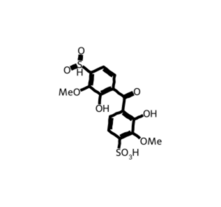 COc1c([SH](=O)=O)ccc(C(=O)c2ccc(S(=O)(=O)O)c(OC)c2O)c1O